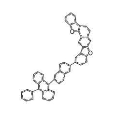 c1ccc(-c2c3ccccc3c(-c3ccc4cc(-c5ccc6oc7cc8ccc9c%10ccccc%10oc9c8cc7c6c5)ccc4c3)c3ccccc23)cc1